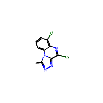 Cc1nnc2c(Cl)nc3c(Cl)cccc3n12